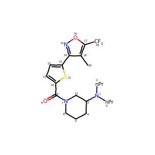 CCCN(CCC)C1CCCN(C(=O)c2ccc(-c3noc(C(F)(F)F)c3C)s2)C1